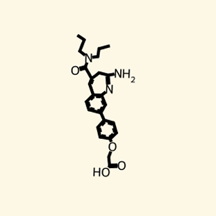 CCCN(CCC)C(=O)C1=Cc2ccc(-c3ccc(OCC(=O)O)cc3)cc2N=C(N)C1